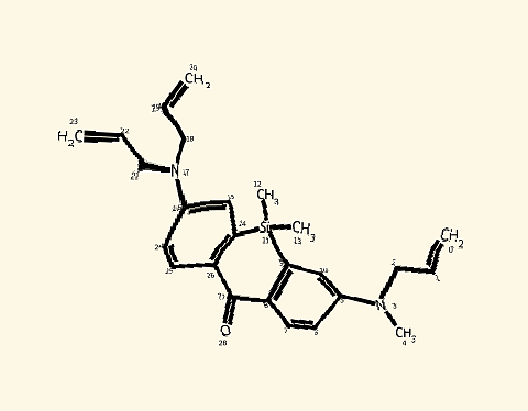 C=CCN(C)c1ccc2c(c1)[Si](C)(C)c1cc(N(CC=C)CC=C)ccc1C2=O